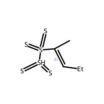 CC/C=C(\C)S(=S)(=S)[SH](=S)=S